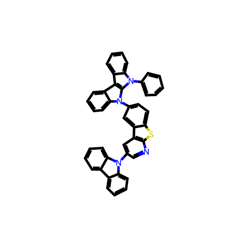 c1ccc(-n2c3ccccc3c3c4ccccc4n(-c4ccc5sc6ncc(-n7c8ccccc8c8ccccc87)cc6c5c4)c32)cc1